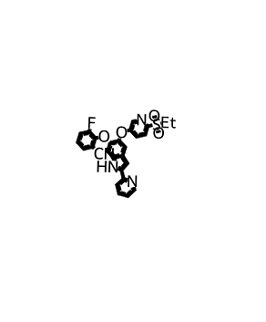 CCS(=O)(=O)c1ccc(Oc2cc3cc(-c4ccccn4)[nH]c3cc2Oc2c(F)cccc2C#N)cn1